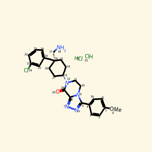 COc1ccc(-c2nnc3n2CCN([C@H]2CC[C@](CN)(c4cccc(Cl)c4)CC2)C3=O)cc1.Cl.Cl